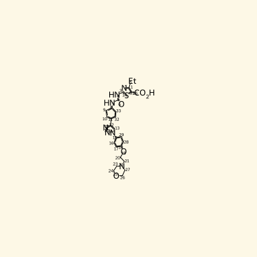 CCc1nc(NC(=O)Nc2ccc(-c3cn(-c4ccc(OCCN5CCOCC5)cc4)nn3)cc2)sc1C(=O)O